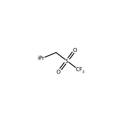 C[C](C)CS(=O)(=O)C(F)(F)F